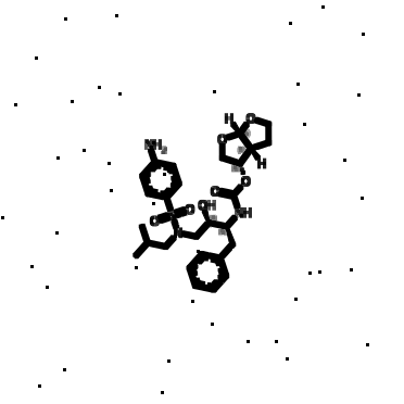 CC(C)CN(C[C@@H](O)[C@H](Cc1ccccc1)NC(=O)O[C@@H]1CO[C@@H]2OCC[C@@H]21)S(=O)(=O)c1ccc(N)cc1